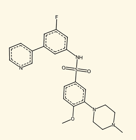 COc1ccc(S(=O)(=O)Nc2cc(F)cc(-c3cccnc3)c2)cc1N1CCN(C)CC1